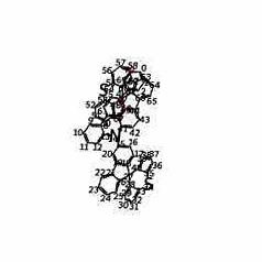 c1ccc(-c2ccc(-c3ccccc3N(c3ccc4c(c3)-c3ccccc3C43c4ccccc4Sc4ccccc43)c3ccc4c(c3)C3(c5ccccc5Sc5ccccc53)c3ccccc3-4)cc2)cc1